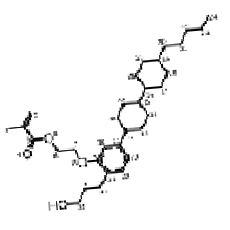 C=C(C)C(=O)OCCOc1cc(C2CCC(C3CCC(CCCCC)CC3)CC2)ccc1CCCO